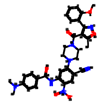 COc1ccccc1-c1noc(C)c1C(=O)N1CCN(c2cc(NC(=O)c3ccc(N(C)C)cc3)c([N+](=O)[O-])cc2C#N)CC1